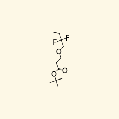 CCC(F)(F)COCCC(=O)OC(C)(C)C